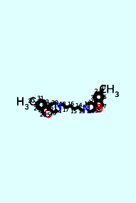 Cc1ccc2c(c1)COC21CCN(CCCCCCN2CCC3(CC2)OCc2cc(C)ccc23)CC1